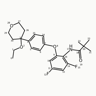 CCOC1(c2ccc(Oc3cc(F)cc(F)c3NC(=O)C(C)(C)C)cc2)CCOCC1